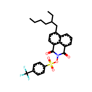 CCCCC(CC)Cc1ccc2c3c(cccc13)C(=O)N(OS(=O)(=O)c1ccc(C(F)(F)F)cc1)C2=O